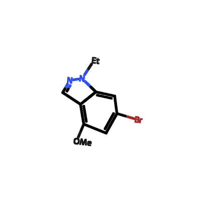 CCn1ncc2c(OC)cc(Br)cc21